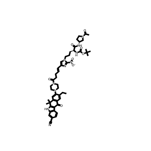 CCc1cc2c(cc1N1CCN(C(=O)CC/C=C/c3cn(CCC[C@H](NC(=O)OC(C)(C)C)C(=O)N[C@@H]4CCN(C(C)=O)C4)c([N+](=O)[O-])n3)CC1)C(C)(C)c1[nH]c3cc(C#N)ccc3c1C2=O